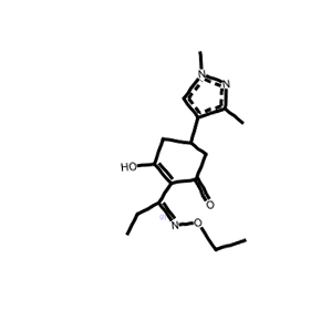 CCO/N=C(/CC)C1=C(O)CC(c2cn(C)nc2C)CC1=O